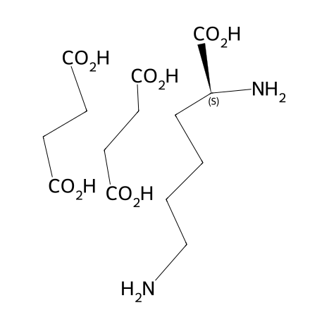 NCCCC[C@H](N)C(=O)O.O=C(O)CCC(=O)O.O=C(O)CCC(=O)O